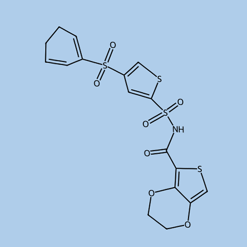 O=C(NS(=O)(=O)c1cc(S(=O)(=O)C2=CCCC=C2)cs1)c1scc2c1OCCO2